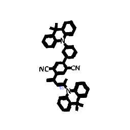 C=C(/C=C(\C)N1c2ccccc2C(C)(C)c2ccccc21)C1=CC(C#N)C(c2cccc(N3c4ccccc4C(C)(C)c4ccccc43)c2)C=C1C#N